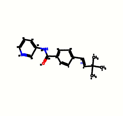 CC(C)(C)/C=C/c1ccc(C(=O)Nc2cccnc2)cc1